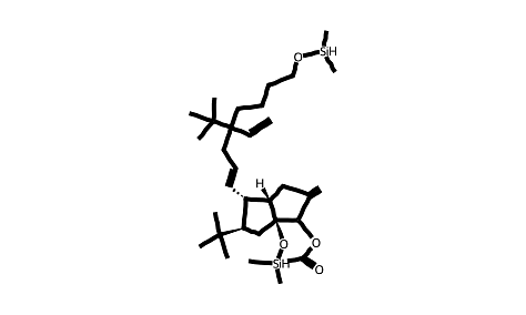 C=CC(CC=C[C@H]1[C@H](C(C)(C)C)C[C@@]2(O[SiH](C)C)C(OC(C)=O)C(=C)C[C@@H]12)(CCCCO[SiH](C)C)C(C)(C)C